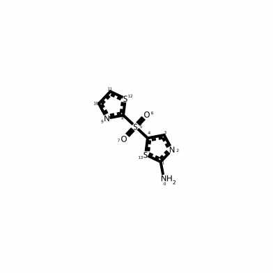 Nc1ncc(S(=O)(=O)c2nccs2)s1